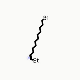 CC/C=C\CCCCCCCCCCBr